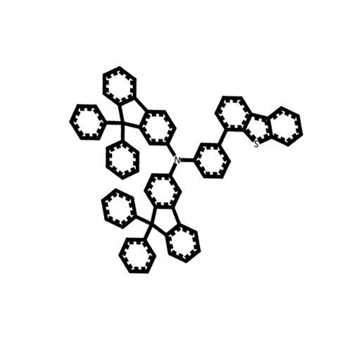 c1ccc(C2(c3ccccc3)c3ccccc3-c3cc(N(c4cccc(-c5cccc6c5sc5ccccc56)c4)c4ccc5c(c4)C(c4ccccc4)(c4ccccc4)c4ccccc4-5)ccc32)cc1